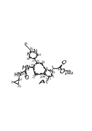 CC(=O)c1cn(CC(=O)OC(C)(C)C)c2cc(-c3cnc(C)nc3)c(NC(=O)NC3CC3)cc12